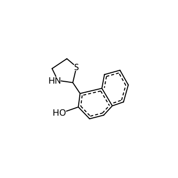 Oc1ccc2ccccc2c1C1NCCS1